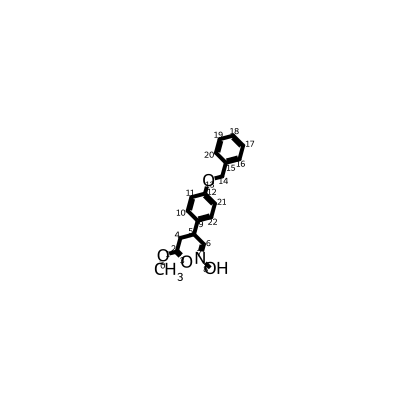 COC(=O)CC(C=NO)c1ccc(OCc2ccccc2)cc1